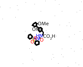 COc1cccc(OC)c1-c1ccc(CC(NC(=O)Nc2ccccc2S(=O)(=O)c2ccccc2)C(=O)O)cc1